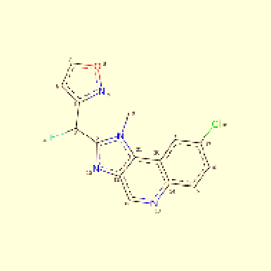 Cn1c(C(F)c2ccon2)nc2cnc3ccc(Cl)cc3c21